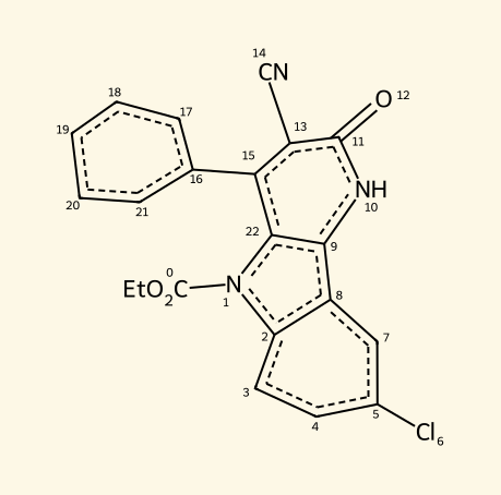 CCOC(=O)n1c2ccc(Cl)cc2c2[nH]c(=O)c(C#N)c(-c3ccccc3)c21